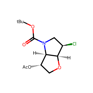 CC(=O)O[C@H]1CO[C@H]2[C@@H]1N(C(=O)OC(C)(C)C)C[C@H]2Cl